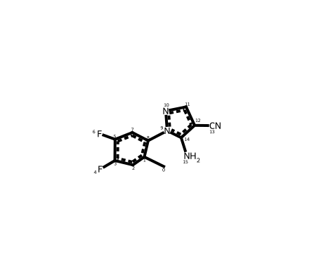 Cc1cc(F)c(F)cc1-n1ncc(C#N)c1N